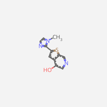 Cn1ccnc1-c1cc2c(O)cncc2s1